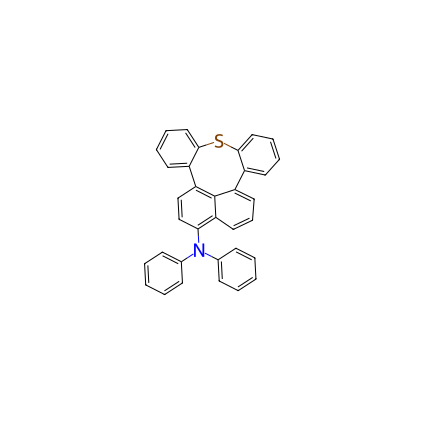 c1ccc(N(c2ccccc2)c2ccc3c4c(cccc24)-c2ccccc2Sc2ccccc2-3)cc1